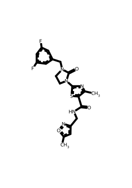 Cc1cc(CNC(=O)c2sc(N3CCN(Cc4cc(F)cc(F)c4)C3=O)nc2C)no1